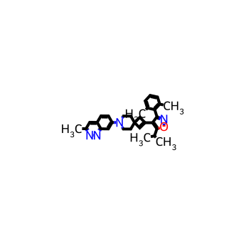 Cc1cc2ccc(N3CCC4(C=C(c5c(-c6c(C)cccc6C)noc5C(C)C)C4)CC3)cc2nn1